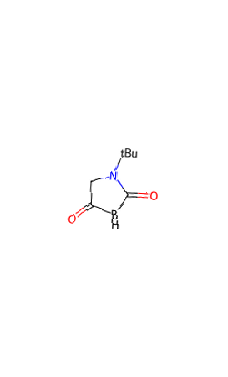 CC(C)(C)N1CC(=O)BC1=O